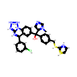 Cn1cncc1C(O)(c1ccc(CSc2nccs2)cc1)c1ccc2c(c1)C(c1cccc(Cl)c1)=NC1=NNNN12